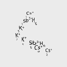 [Cs+].[Cs+].[Cs+].[K+].[K+].[K+].[SbH6-3].[SbH6-3]